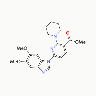 COC(=O)c1ccc(-n2cnc3cc(OC)c(OC)cc32)nc1N1CCCCC1